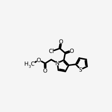 COC(=O)Cn1ccc(-c2cccs2)c1C(=O)C(=O)Cl